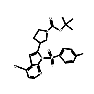 Cc1ccc(S(=O)(=O)n2c(C3CCN(C(=O)OC(C)(C)C)C3)cc3c(Cl)ccnc32)cc1